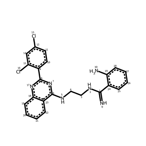 N=C(NCCNc1nc(-c2ccc(Cl)cc2Cl)nc2ccccc12)c1ccccc1N